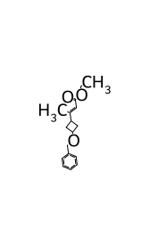 CCOC(=O)/C=C(\C)C1CC(OCc2ccccc2)C1